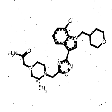 C[C@@H]1CN(CC(N)=O)CCN1Cc1nc(-c2cn(CC3CCOCC3)c3c(Cl)cccc23)no1